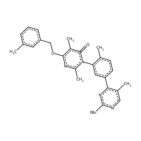 Cc1cccc(COc2nc(C)n(-c3cc(-c4nc(C(C)(C)C)ncc4C)ccc3C)c(=O)c2C)c1